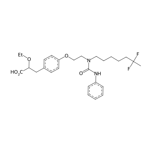 CCOC(Cc1ccc(OCCN(CCCCCC(C)(F)F)C(=O)Nc2ccccc2)cc1)C(=O)O